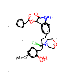 COc1ccc(CC(Cl)(CCc2ccc3c(c2)C(OC(=O)c2ccccc2)C(=O)N3)N2CCOCC2)c(O)c1